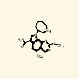 CSc1ncc2ccc3c(C(N)=O)cn(C4CCCCNC4)c3c2n1.Cl